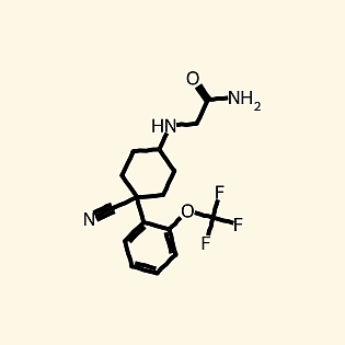 N#CC1(c2ccccc2OC(F)(F)F)CCC(NCC(N)=O)CC1